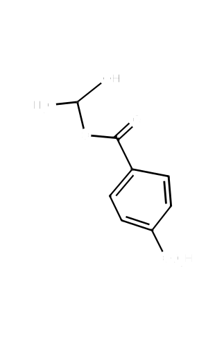 [CH2]C(O)OC(=O)c1ccc(C(=O)O)cc1